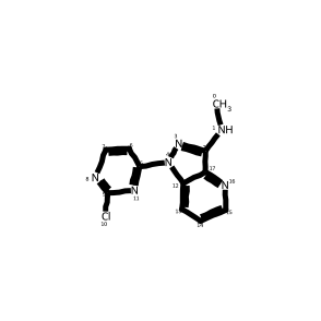 CNc1nn(-c2ccnc(Cl)n2)c2cccnc12